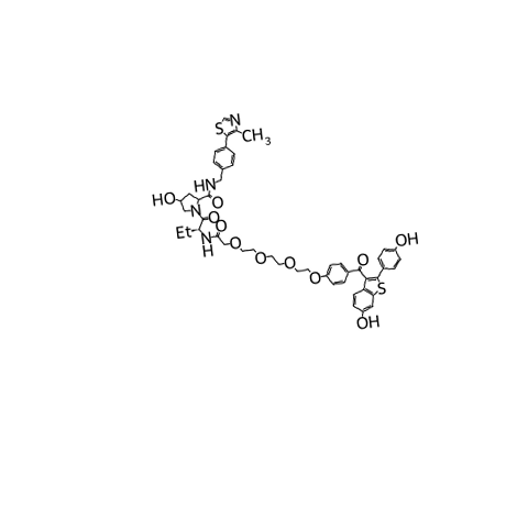 CC[C@H](NC(=O)COCCOCCOCCOc1ccc(C(=O)c2c(-c3ccc(O)cc3)sc3cc(O)ccc23)cc1)C(=O)N1CC(O)CC1C(=O)NCc1ccc(-c2scnc2C)cc1